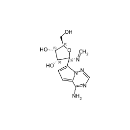 C=N[C@@]1(c2ccc3c(N)ncnn23)O[C@H](CO)[C@@H](O)[C@H]1O